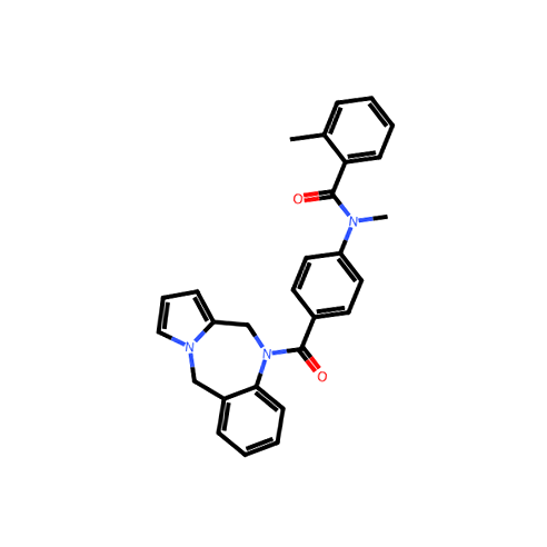 Cc1ccccc1C(=O)N(C)c1ccc(C(=O)N2Cc3cccn3Cc3ccccc32)cc1